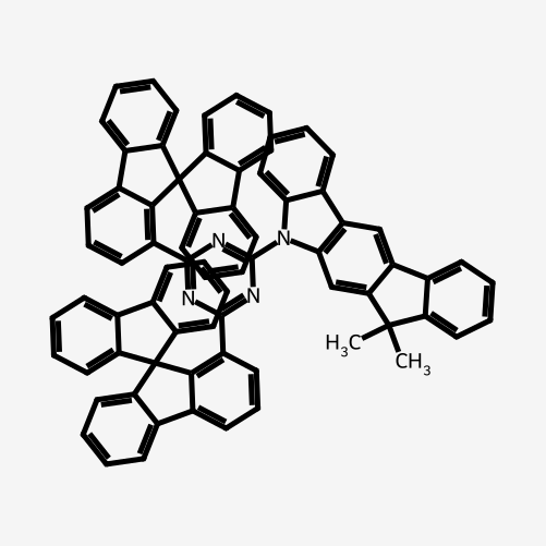 CC1(C)c2ccccc2-c2cc3c4ccccc4n(-c4nc(-c5cccc6c5C5(c7ccccc7-c7ccccc75)c5ccccc5-6)nc(-c5cccc6c5C5(c7ccccc7-c7ccccc75)c5ccccc5-6)n4)c3cc21